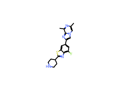 Cc1cn2cc(-c3cc(F)c4nc(C5CCNCC5)sc4c3)nc2c(C)n1